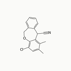 Cc1cc(Cl)c2c(c1C)C(C#N)c1ccccc1CO2